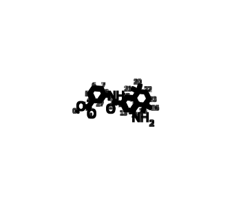 COC(=O)c1cccc(NC(=O)c2cc(N)c3c(c2)C(C)(C)CCC3(C)C)c1